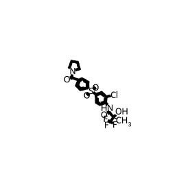 C[C@@](O)(C(=O)Nc1ccc(S(=O)(=O)c2ccc(C(=O)N3CCCC3)cc2)cc1Cl)C(F)(F)F